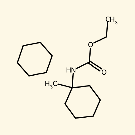 C1CCCCC1.CCOC(=O)NC1(C)CCCCC1